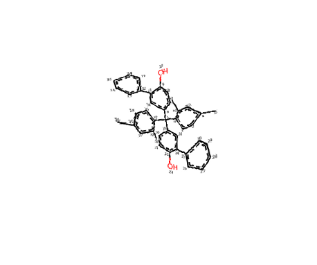 Cc1ccc(C(c2ccc(O)c(-c3ccccc3)c2)(c2ccc(O)c(-c3ccccc3)c2)c2ccc(C)cc2C)c(C)c1